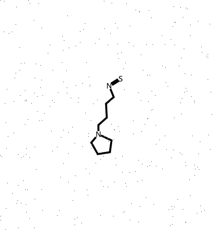 S=NCCCCN1CCCC1